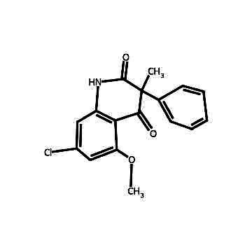 COc1cc(Cl)cc2c1C(=O)C(C)(c1ccccc1)C(=O)N2